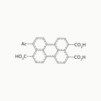 CC(=O)c1ccc2c3ccc(C(=O)O)c4c(C(=O)O)ccc(c5ccc(C(=O)O)c1c25)c43